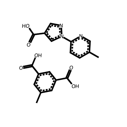 Cc1cc(C(=O)O)cc(C(=O)O)c1.Cc1ccc(-n2cc(C(=O)O)cn2)nc1